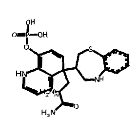 NC(=O)[C@@H](N)CC1(C2CNc3ccccc3SC2)C=CC(OP(=O)(O)O)=C2NC=CC=C21